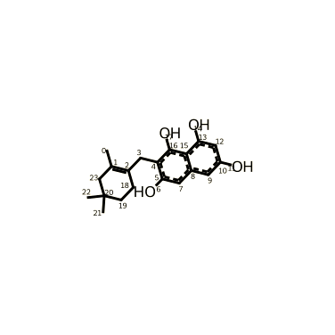 CC1=C(Cc2c(O)cc3cc(O)cc(O)c3c2O)CCC(C)(C)C1